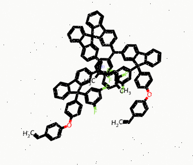 C=Cc1ccc(Oc2ccc(C3(c4cc(F)cc(F)c4)c4ccccc4-c4ccc(/C(=C\c5ccc6c(c5)C5(c7ccccc7-6)c6ccccc6-c6ccc(C(c7ccc(C)c(F)c7)c7ccc8c(c7)C(c7ccc(Oc9ccc(C=C)cc9)cc7)(c7cc(F)cc(F)c7)c7ccccc7-8)cc65)c5ccc(C)c(F)c5)cc43)cc2)cc1